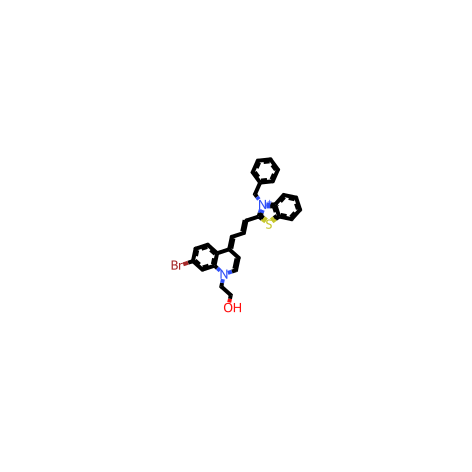 OCCN1C=C/C(=C\C=C\c2sc3ccccc3[n+]2Cc2ccccc2)c2ccc(Br)cc21